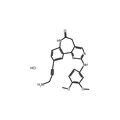 COc1ccc(Nc2ncc3c(n2)-c2cc(C#CCN)ccc2NC(=O)C3)cc1OC.Cl